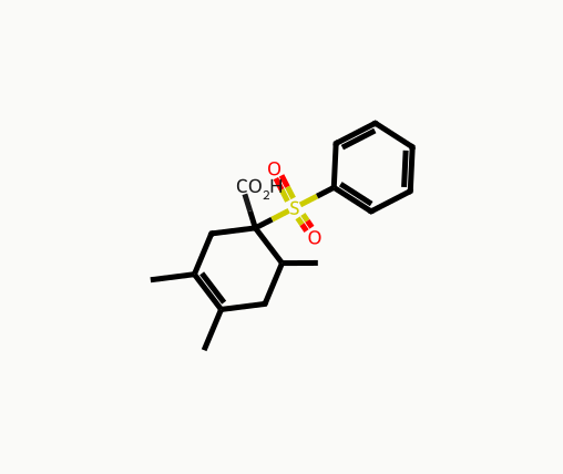 CC1=C(C)CC(C(=O)O)(S(=O)(=O)c2ccccc2)C(C)C1